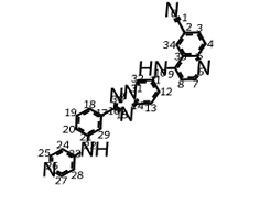 N#Cc1ccc2nccc(Nc3ccc4nc(-c5cccc(Nc6ccncc6)c5)nn4c3)c2c1